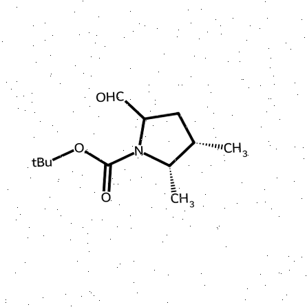 C[C@H]1CC(C=O)N(C(=O)OC(C)(C)C)[C@H]1C